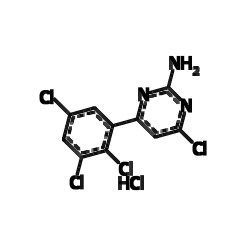 Cl.Nc1nc(Cl)cc(-c2cc(Cl)cc(Cl)c2Cl)n1